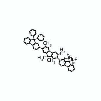 Cc1cc2c(cc1-c1ccc3c(c1)C(c1ccccc1)(c1ccccc1)c1ccccc1-3)C(C)(C)c1cc(-c3ccc4c(c3)C(C(F)(F)F)(C(F)(F)F)c3ccccc3-4)c(C)cc1-2